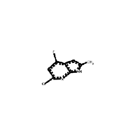 Cc1cc2c(F)cc(Cl)nc2[nH]1